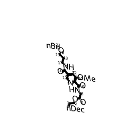 CCCCCCCCCCCCOC(=O)CNC(=O)c1ncc(C(=O)NCCCOCCCC)cc1OC